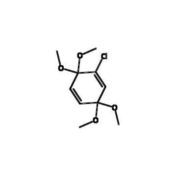 COC1(OC)C=CC(OC)(OC)C(Cl)=C1